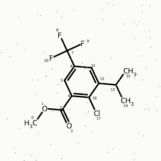 COC(=O)c1cc(C(F)(F)F)cc(C(C)C)c1Cl